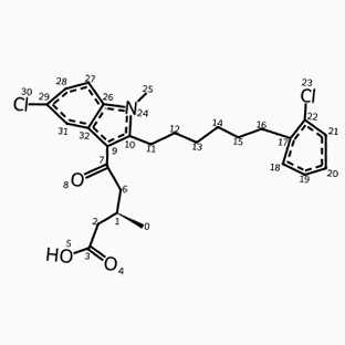 C[C@@H](CC(=O)O)CC(=O)c1c(CCCCCCc2ccccc2Cl)n(C)c2ccc(Cl)cc12